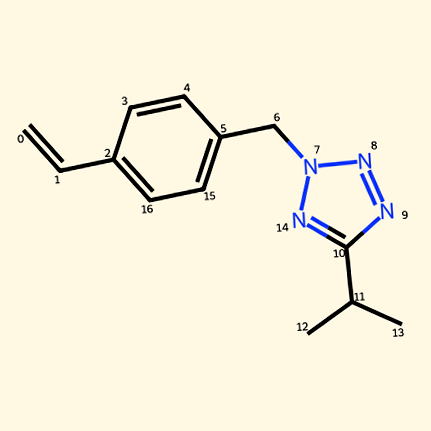 C=Cc1ccc(Cn2nnc(C(C)C)n2)cc1